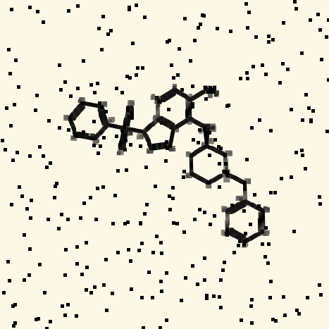 Nc1cnc2c(c1N[C@@H]1CCCN(Cc3ccccc3)C1)C=CC2S(=O)(=O)c1ccccc1